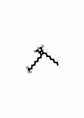 CCCCCCCCC1C(CCCCCCCC(=O)O)C2C(=O)OC(=O)C12